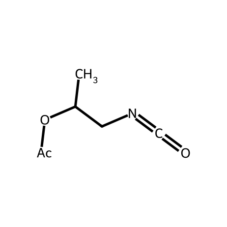 CC(=O)OC(C)CN=C=O